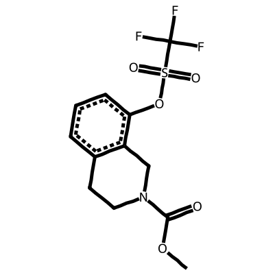 COC(=O)N1CCc2cccc(OS(=O)(=O)C(F)(F)F)c2C1